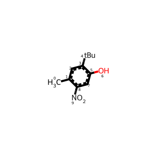 Cc1cc(C(C)(C)C)c(O)cc1[N+](=O)[O-]